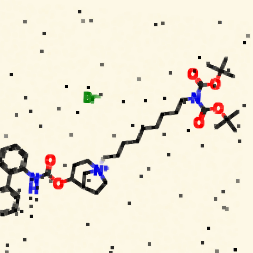 CC(C)(C)OC(=O)N(CCCCCCCCC[N@+]12CCC(C1)C(OC(=O)Nc1ccccc1-c1ccccc1)CC2)C(=O)OC(C)(C)C.[Br-]